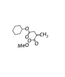 C=C(CC(=O)OC1CCCCC1)C(=O)OOC